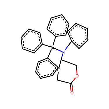 O=C1CCC(N(c2ccccc2)[Si](c2ccccc2)(c2ccccc2)c2ccccc2)CO1